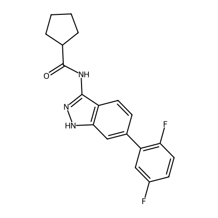 O=C(Nc1n[nH]c2cc(-c3cc(F)ccc3F)ccc12)C1CCCC1